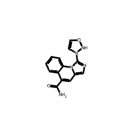 NC(=O)c1cc2cnc(N3C=CON3)n2c2ccccc12